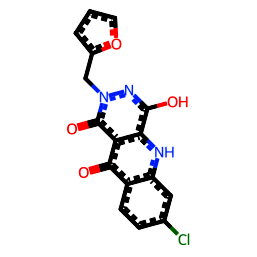 O=c1c2ccc(Cl)cc2[nH]c2c(O)nn(Cc3ccco3)c(=O)c12